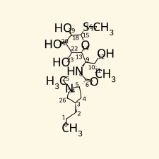 CCC[C@@H]1C[C@@H](C(=O)N[C@H]([C@@H](C)O)[C@H]2OC(SC)[C@H](O)[C@H](O)C2O)N(C)C1